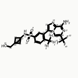 [2H]C([2H])([2H])c1ccc(S(=O)(=O)NC23CC(CO)(C2)C3)cc1-c1cnc2c(N)nc(C(F)(F)F)cn12